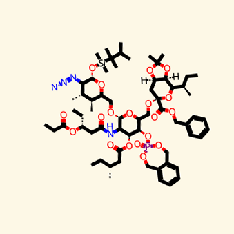 CCC(=O)O[C@H](CC)CC(=O)NC1[C@H](OCC2O[C@@H](O[Si](C)(C)C(C)(C)C(C)C)C(N=[N+]=[N-])[C@@H](C)[C@@H]2C)OC(CO[C@]2(C(=O)OCc3ccccc3)C[C@H]3OC(C)(C)O[C@H]3C([C@H](C)CC)O2)[C@@H](OP2(=O)OCc3ccccc3CO2)[C@@H]1OC(=O)C[C@H](C)CC